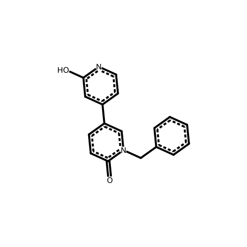 O=c1ccc(-c2ccnc(O)c2)cn1Cc1ccccc1